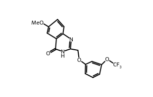 COc1ccc2nc(COc3cccc(OC(F)(F)F)c3)[nH]c(=O)c2c1